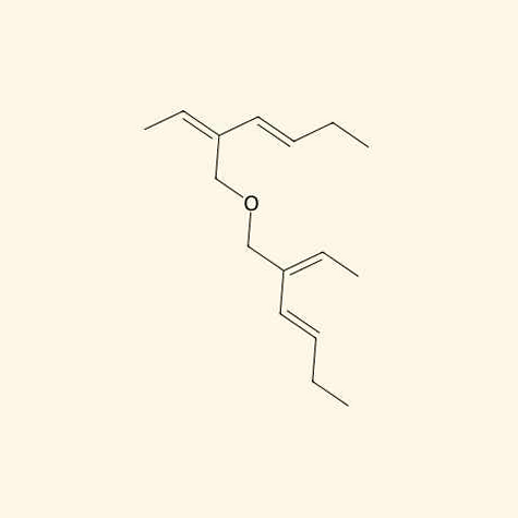 CC=C(C=CCC)COCC(C=CCC)=CC